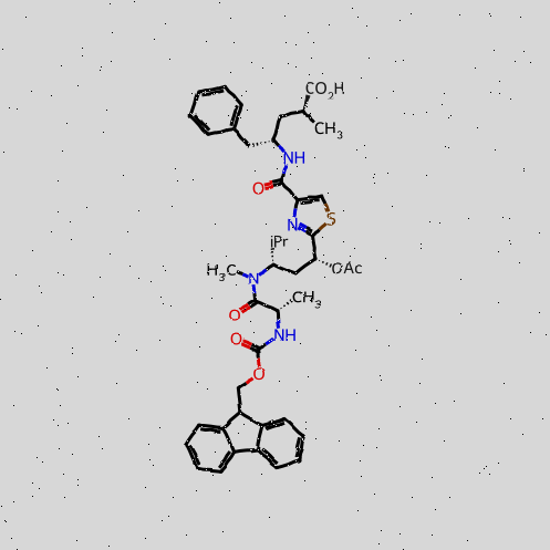 CC(=O)O[C@H](C[C@@H](C(C)C)N(C)C(=O)[C@H](C)NC(=O)OCC1c2ccccc2-c2ccccc21)c1nc(C(=O)N[C@H](Cc2ccccc2)C[C@H](C)C(=O)O)cs1